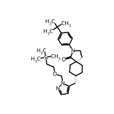 CC(C)(C)c1ccc(N2CC[C@]3(CC[C@@H](Cc4ccnn4COCC[Si](C)(C)C)CC3)C2=O)cc1